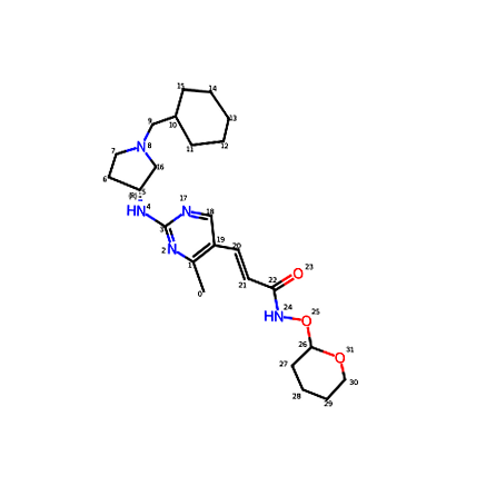 Cc1nc(N[C@@H]2CCN(CC3CCCCC3)C2)ncc1C=CC(=O)NOC1CCCCO1